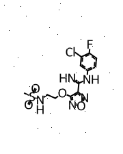 CS(=O)(=O)NCCOc1nonc1C(=N)Nc1ccc(F)c(Cl)c1